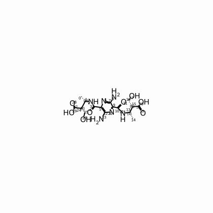 C[C@H](NC(=O)c1nc(N)c(C(=O)N[C@@H](C)[C@H](CO)C(=O)O)nc1N)[C@H](CO)C(=O)O